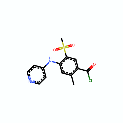 Cc1cc(Nc2ccncc2)c(S(C)(=O)=O)cc1C(=O)Cl